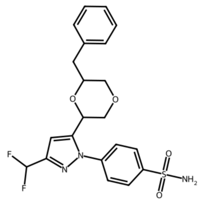 NS(=O)(=O)c1ccc(-n2nc(C(F)F)cc2C2COCC(Cc3ccccc3)O2)cc1